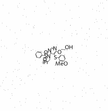 COc1ccccc1Sc1c(OCCO)ncnc1N(CC(C)C)S(=O)(=O)c1ccccc1